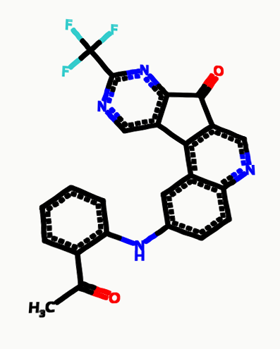 CC(=O)c1ccccc1Nc1ccc2ncc3c(c2c1)-c1cnc(C(F)(F)F)nc1C3=O